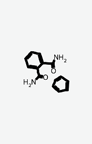 NC(=O)c1ccccc1C(N)=O.c1ccccc1